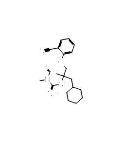 CN(C=O)C(=N)NC(C)(COc1ccccc1C#N)CC1CCCCC1